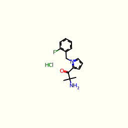 CC(C)(N)C(=O)c1cccn1Cc1ccccc1F.Cl